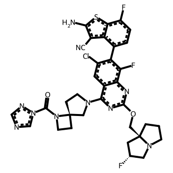 N#Cc1c(N)sc2c(F)ccc(-c3c(Cl)cc4c(N5CC[C@]6(CCN6C(=O)n6cncn6)C5)nc(OC[C@@]56CCCN5C[C@H](F)C6)nc4c3F)c12